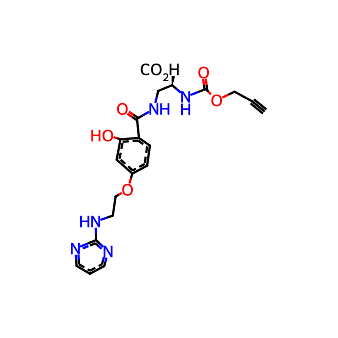 C#CCOC(=O)N[C@@H](CNC(=O)c1ccc(OCCNc2ncccn2)cc1O)C(=O)O